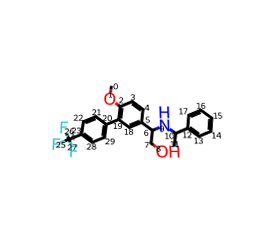 COc1ccc(C(CO)NC(C)c2ccccc2)cc1-c1ccc(C(F)(F)F)cc1